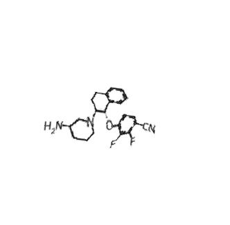 N#Cc1ccc(O[C@H]2c3ccccc3CC[C@@H]2N2CCC[C@@H](N)C2)c(F)c1F